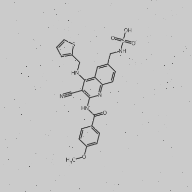 COc1ccc(C(=O)Nc2nc3ccc(CNS(=O)(=O)O)cc3c(NCc3cccs3)c2C#N)cc1